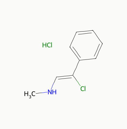 CNC=C(Cl)c1ccccc1.Cl